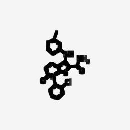 Cc1cccc(Nc2c(C(N)=O)sc3c2ccc(=O)n3-c2ccccc2Cl)c1